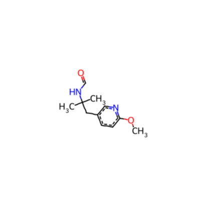 COc1ccc(CC(C)(C)NC=O)cn1